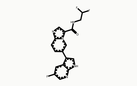 O=C(NCC(F)F)c1cnc2ccc(-c3c[nH]c4ncc(F)cc34)cn12